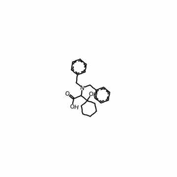 O=C(O)C(N(Cc1ccccc1)Cc1ccccc1)C1(O)CCCCC1